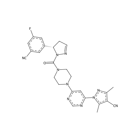 Cc1nn(-c2cc(N3CCN(C(=O)N4N=CC[C@H]4c4cc(F)cc(C#N)c4)CC3)ncn2)c(C)c1C#N